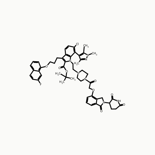 Cc1nn(C)c(C)c1-c1c(Cl)ccc2c(CCCOc3cccc4ccc(F)cc34)c(C(=O)OC(C)(C)C)n(CCN3CCN(C(=O)COc4cccc5c4CN(C4CCC(=O)NC4=O)C5=O)CC3)c12